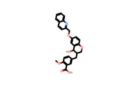 COc1ccc(CC2COc3ccc(OCc4ccc5ccccc5n4)cc3C2O)cc1C(=O)O